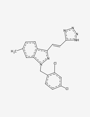 Cc1ccc2c(/C=C/c3nnn[nH]3)nn(Cc3ccc(Cl)cc3Cl)c2c1